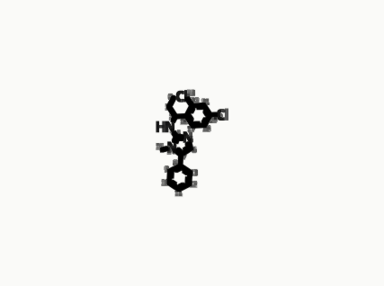 CCC(Nc1ncc(-c2ccccc2)n1C)c1ccc(Cl)cc1Cl